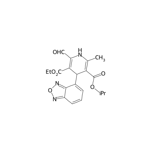 CCOC(=O)C1=C(C=O)NC(C)=C(C(=O)OC(C)C)C1c1cccc2nonc12